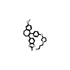 Cc1nc2cc(C3=C(c4ccc(OC5CCN(CCCF)C5)cc4)c4ccc(OF)cc4CCC3)ccc2o1